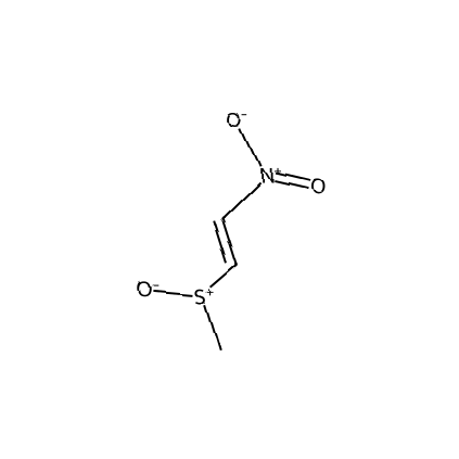 C[S+]([O-])C=C[N+](=O)[O-]